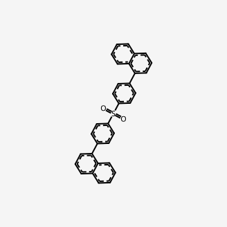 O=S(=O)(c1ccc(-c2cccc3ccccc23)cc1)c1ccc(-c2cccc3ccccc23)cc1